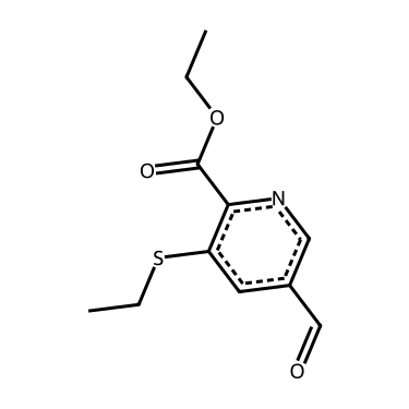 CCOC(=O)c1ncc(C=O)cc1SCC